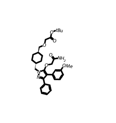 COc1cccc(-c2c(-c3ccccc3)nn(C[C@H]3CC[C@H](COCC(=O)OC(C)(C)C)CC3)c2OCC(N)=O)c1